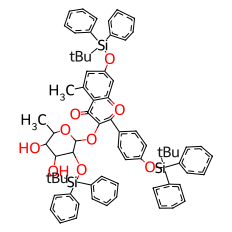 Cc1cc(O[Si](c2ccccc2)(c2ccccc2)C(C)(C)C)cc2oc(-c3ccc(O[Si](c4ccccc4)(c4ccccc4)C(C)(C)C)cc3)c(OC3OC(C)C(O)C(O)C3O[Si](c3ccccc3)(c3ccccc3)C(C)(C)C)c(=O)c12